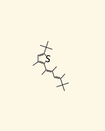 C/C(=C\C(C)=C(/C)c1sc(C(C)(C)C)cc1C)C(C)(C)C